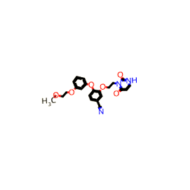 COCCOc1cccc(Oc2ccc(C#N)cc2OCCn2c(=O)cc[nH]c2=O)c1